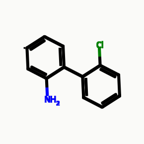 Nc1c[c]ccc1-c1ccccc1Cl